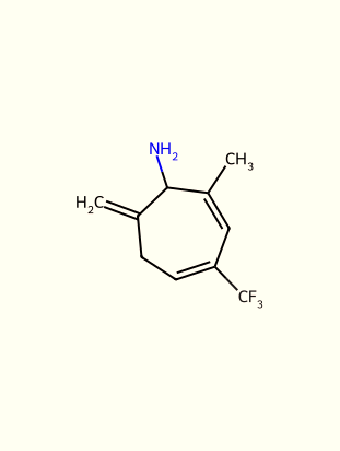 C=C1CC=C(C(F)(F)F)C=C(C)C1N